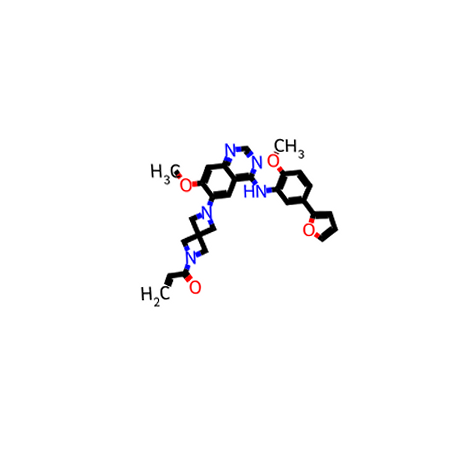 C=CC(=O)N1CC2(C1)CN(c1cc3c(Nc4cc(-c5ccco5)ccc4OC)ncnc3cc1OC)C2